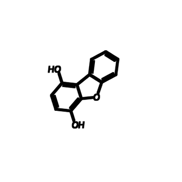 Oc1ccc(O)c2c1oc1ccccc12